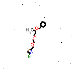 CC(CCOCCOCc1nc(Br)cs1)OCc1ccccc1